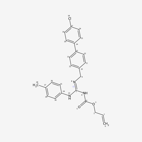 C=CCOC(=O)N/C(=N\Cc1ccc(-c2ccc(Cl)cc2)cc1)Nc1ccc(C)cc1